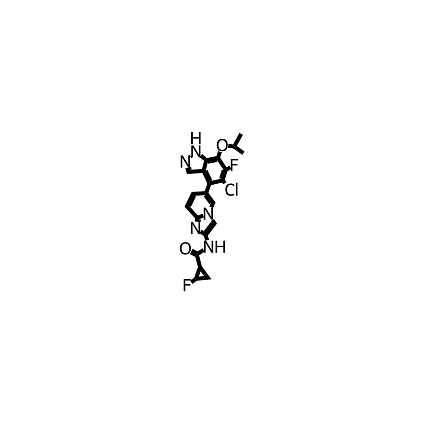 CC(C)Oc1c(F)c(Cl)c(-c2ccc3nc(NC(=O)C4CC4F)cn3c2)c2cn[nH]c12